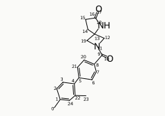 Cc1ccc(-c2ccc(C(=O)N3CC4(CCC(=O)N4)C3)cc2)c(C)c1